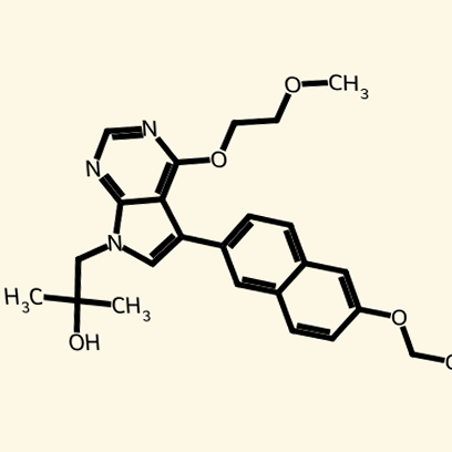 CCOc1ccc2cc(-c3cn(CC(C)(C)O)c4ncnc(OCCOC)c34)ccc2c1